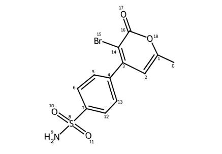 Cc1cc(-c2ccc(S(N)(=O)=O)cc2)c(Br)c(=O)o1